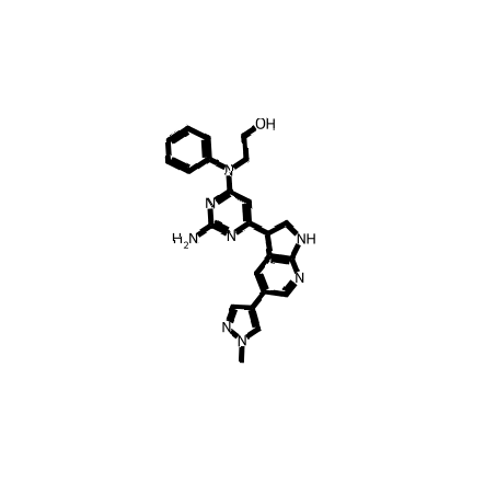 Cn1cc(-c2cnc3c(c2)C(c2cc(N(CCO)c4ccccc4)nc(N)n2)CN3)cn1